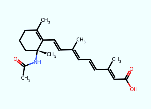 CC(=O)N[C@]1(C)CCCC(C)=C1/C=C/C(C)=C/C=C/C(C)=C/C(=O)O